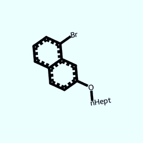 CCCCCCCOc1ccc2cccc(Br)c2c1